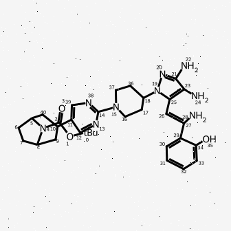 CC(C)(C)OC(=O)N1C2CCC1CC(c1cnc(N3CCC(n4nc(N)c(N)c4/C=C(\N)c4ccccc4O)CC3)nc1)C2